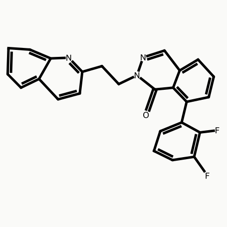 O=c1c2c(-c3cccc(F)c3F)cccc2cnn1CCc1ccc2ccccc2n1